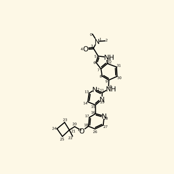 CN(C)C(=O)c1cc2cc(Nc3nccc(-c4cc(OCC5(C)CCC5)ccn4)n3)ccc2[nH]1